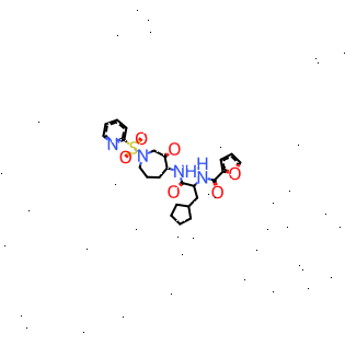 O=C(NC(CC1CCCC1)C(=O)NC1CCCN(S(=O)(=O)c2ccccn2)CC1=O)c1ccco1